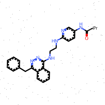 CC(C)C(=O)Nc1ccc(NCCNc2nnc(Cc3ccccc3)c3ccccc23)nc1